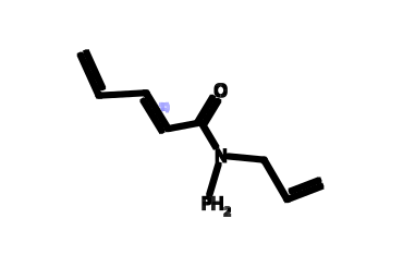 C=C/C=C/C(=O)N(P)CC=C